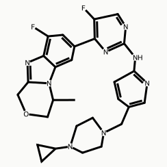 CC1COCc2nc3c(F)cc(-c4nc(Nc5ccc(CN6CCN(C7CC7)CC6)cn5)ncc4F)cc3n21